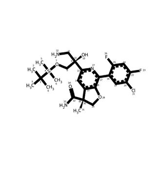 CC(C)(C)[Si](C)(C)OC[C@](O)(CN)c1cc2c(c(-c3cc(Cl)c(F)cc3F)n1)OC[C@]2(C)C(N)=O